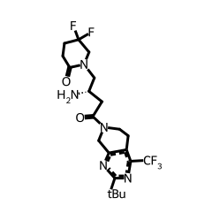 CC(C)(C)c1nc2c(c(C(F)(F)F)n1)CCN(C(=O)C[C@H](N)CN1CC(F)(F)CCC1=O)C2